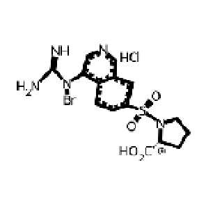 Cl.N=C(N)N(Br)c1cncc2cc(S(=O)(=O)N3CCC[C@@H]3C(=O)O)ccc12